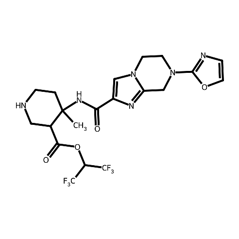 CC1(NC(=O)c2cn3c(n2)CN(c2ncco2)CC3)CCNCC1C(=O)OC(C(F)(F)F)C(F)(F)F